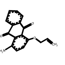 C=CCOc1ccc(N)c2c1C(=O)c1ccccc1C2=O